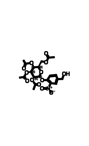 CC(=O)OC[C@H]1O[C@H](Oc2ccc(CO)cc2[N+](=O)[O-])[C@H](OC(C)=O)[C@@H](OC(C)=O)[C@H]1OC(C)=O